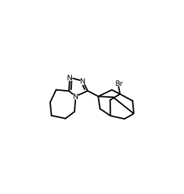 BrC12CC3CC(C1)CC(c1nnc4n1CCCCC4)(C3)C2